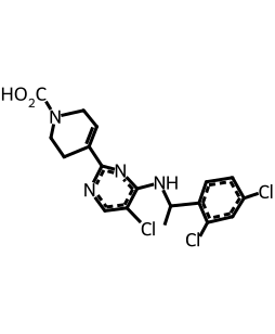 CC(Nc1nc(C2=CCN(C(=O)O)CC2)ncc1Cl)c1ccc(Cl)cc1Cl